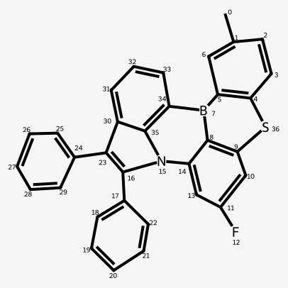 Cc1ccc2c(c1)B1c3c(cc(F)cc3-n3c(-c4ccccc4)c(-c4ccccc4)c4cccc1c43)S2